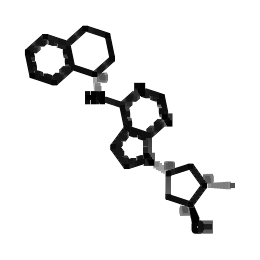 [CH2][C@H]1C[C@@H](n2ccc3c(N[C@H]4CCCc5ccccc54)ncnc32)C[C@@H]1O